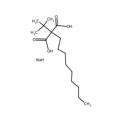 CCCCCCCCCC(C(=O)O)(C(=O)O)C(C)(C)C.[NaH]